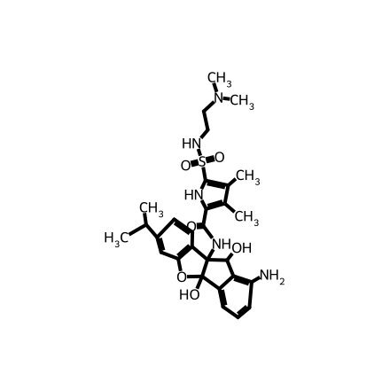 Cc1c(C(=O)NC23c4ccc(C(C)C)cc4OC2(O)c2cccc(N)c2C3O)[nH]c(S(=O)(=O)NCCN(C)C)c1C